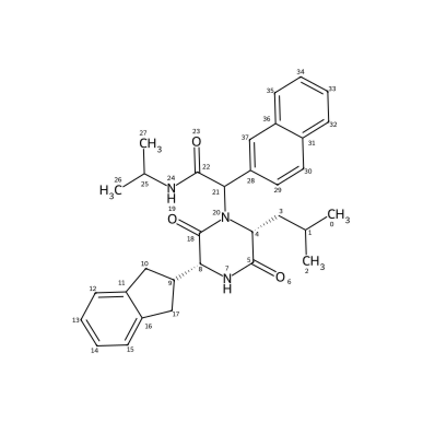 CC(C)C[C@@H]1C(=O)N[C@H](C2Cc3ccccc3C2)C(=O)N1C(C(=O)NC(C)C)c1ccc2ccccc2c1